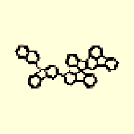 c1ccc2c(c1)-c1cccc3c4c(cc-2c13)C1(c2ccccc2-c2ccc(-c3ccc5c(c3)c3ccccc3n5-c3ccc5ccccc5c3)cc21)c1ccccc1-4